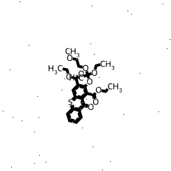 CCOC(=O)c1cc2sc3ccccc3c(=O)c2c(C(=O)OCC)c1OC(C)(OCC)OCCOC